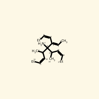 C/C=C(\C=C/CC)C(N)(C(C)/C=C\CC)C(C)/C=C\CC